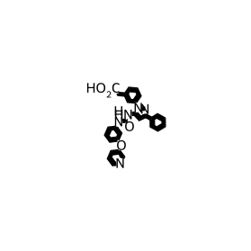 O=C(O)Cc1cccc(-n2nc(-c3ccccc3)cc2NC(=O)Nc2cccc(Oc3cccnc3)c2)c1